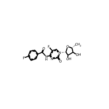 C[C@H]1O[C@@H](n2cc(F)c(NC(=O)c3ccc(F)cc3)nc2=O)C(O)C1O